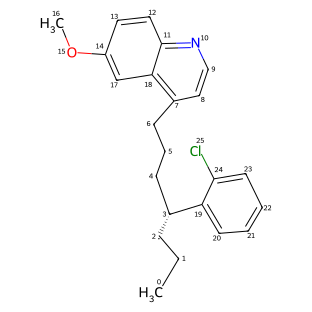 CC[CH][C@H](CCCc1ccnc2ccc(OC)cc12)c1ccccc1Cl